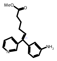 COC(=O)CCC/C=C(\c1cccnc1)c1cccc(N)c1